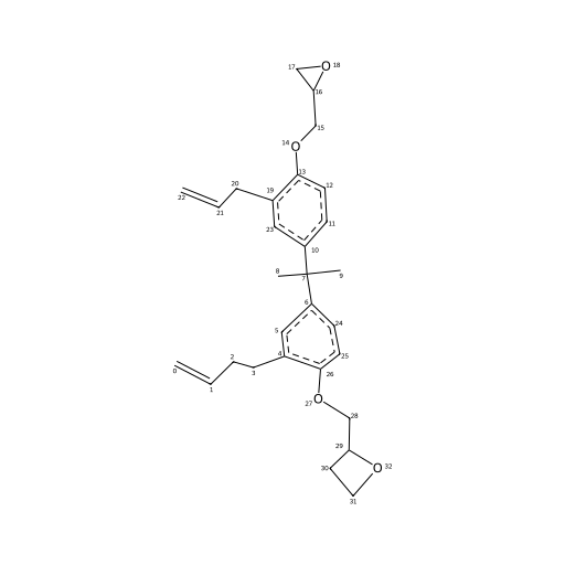 C=CCCc1cc(C(C)(C)c2ccc(OCC3CO3)c(CC=C)c2)ccc1OCC1CCO1